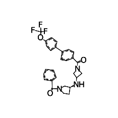 O=C(c1ccc(-c2ccc(OC(F)(F)F)cc2)cc1)N1CC(N[C@H]2CCN(C(=O)c3ccccc3)C2)C1